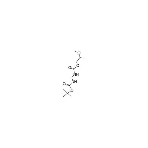 COC(C)COC(=O)NCNC(=O)OC(C)(C)C